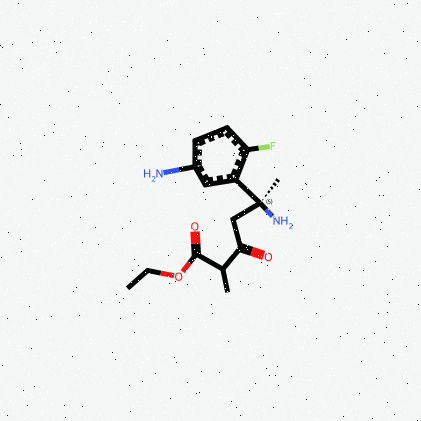 CCOC(=O)C(C)C(=O)C[C@](C)(N)c1cc(N)ccc1F